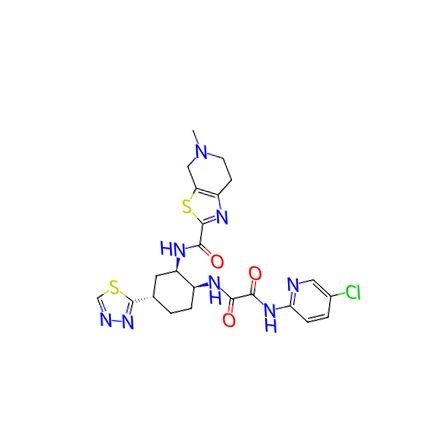 CN1CCc2nc(C(=O)N[C@@H]3C[C@@H](c4nncs4)CC[C@@H]3NC(=O)C(=O)Nc3ccc(Cl)cn3)sc2C1